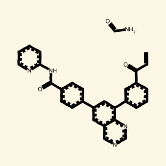 C=CC(=O)c1cccc(-c2cc(-c3ccc(C(=O)Nc4ccccn4)cc3)cc3cncnc23)c1.NC=O